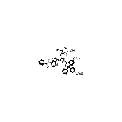 COc1ccc(C(OC[C@H]2O[C@@H](n3cnc4c(NC(=O)c5ccccc5)ncnc43)[C@H](OP(OCCC#N)N(C(C)C)C(C)C)[C@@H]2F)(c2ccccc2)c2ccc(OC)cc2)cc1